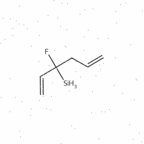 C=CCC(F)([SiH3])C=C